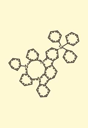 c1ccc(-n2c3ccccc3n3c4ccccc4c4ccc5c6cc([Si](c7ccccc7)(c7ccccc7)c7ccccc7)ccc6n(c6ccccc62)c5c43)cc1